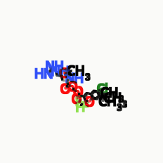 CC(=O)N[C@@H](CCCNC(=N)N)C(=O)OCOC(=O)C1=Cc2cc(Cl)c(C(C)(C)C)cc2O[C@@H]1C(F)(F)F